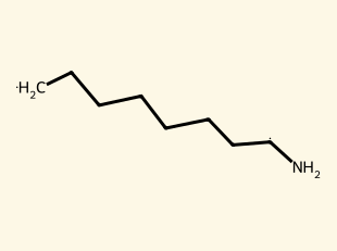 [CH2]CCCCCC[CH]N